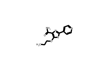 CCCOc1sc(-c2ccncc2)nc1C(N)=O